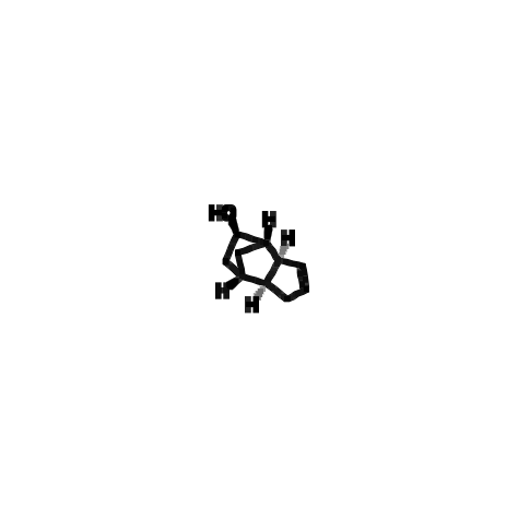 O[C@@H]1C[C@@H]2C[C@H]1[C@H]1C=CC[C@@H]21